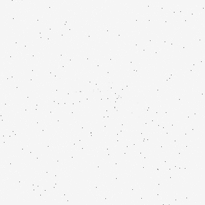 CC(C)(C)c1ccc(CNC(=O)c2nc(-c3cc(Cl)c(O)c(Cl)c3)no2)cc1